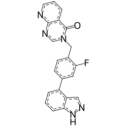 O=c1c2cccnc2ncn1Cc1ccc(-c2cccc3[nH]ncc23)cc1F